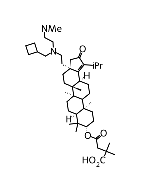 CNCCN(CC[C@@]12CC[C@]3(C)[C@H](CCC4[C@@]5(C)CC[C@H](OC(=O)CC(C)(C)C(=O)O)C(C)(C)[C@H]5CC[C@]43C)C1=C(C(C)C)C(=O)C2)CC1CCC1